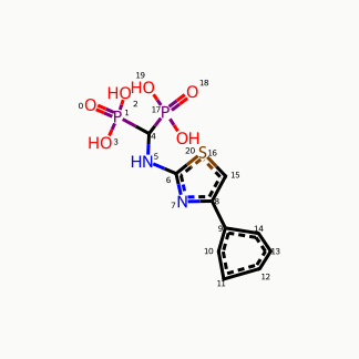 O=P(O)(O)C(Nc1nc(-c2ccccc2)cs1)P(=O)(O)O